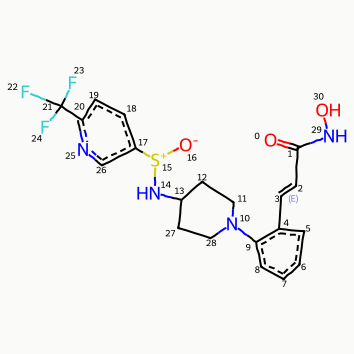 O=C(/C=C/c1ccccc1N1CCC(N[S+]([O-])c2ccc(C(F)(F)F)nc2)CC1)NO